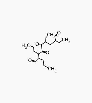 CCCC(C=O)C(CCC)C(=O)C(=O)C(CC)CC(C=O)CC